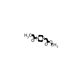 C=CC(=O)N1CCN(CC(=O)OC)CC1